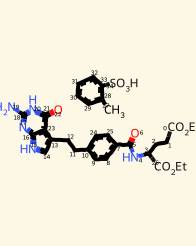 CCOC(=O)CCC(NC(=O)c1ccc(CCc2c[nH]c3nc(N)[nH]c(=O)c23)cc1)C(=O)OCC.Cc1ccccc1S(=O)(=O)O